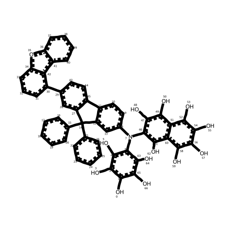 Oc1c(O)c(O)c(N(c2ccc3c(c2)C(c2ccccc2)(c2ccccc2)c2cc(-c4cccc5oc6ccccc6c45)ccc2-3)c2c(O)c(O)c3c(O)c(O)c(O)c(O)c3c2O)c(O)c1O